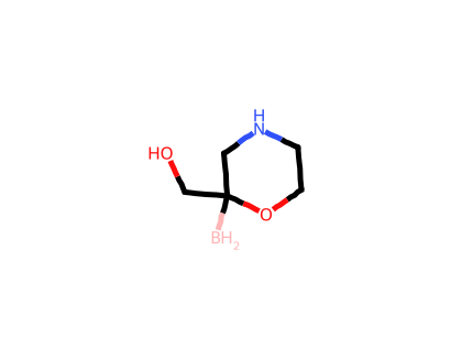 BC1(CO)CNCCO1